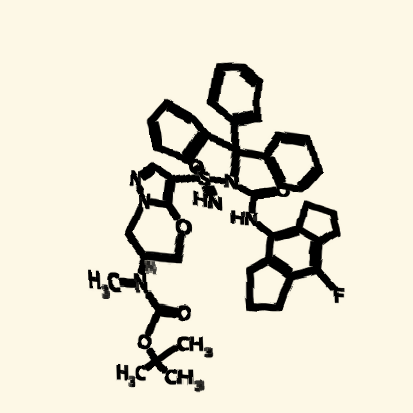 CN(C(=O)OC(C)(C)C)[C@@H]1COc2c(S(=N)(=O)N(C(=O)Nc3c4c(c(F)c5c3CCC5)CCC4)C(c3ccccc3)(c3ccccc3)c3ccccc3)cnn2C1